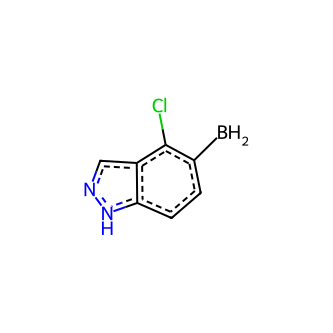 Bc1ccc2[nH]ncc2c1Cl